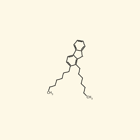 CCCCCCCc1ccc2c(c1CCCCCCC)[CH]c1ccccc1-2